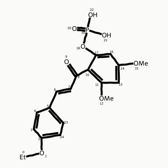 CCOc1ccc(C=CC(=O)c2c(OC)cc(OC)cc2OP(=O)(O)O)cc1